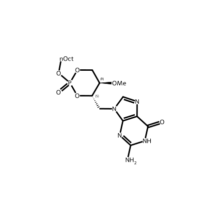 CCCCCCCCOP1(=O)OC[C@@H](OC)[C@H](Cn2cnc3c(=O)[nH]c(N)nc32)O1